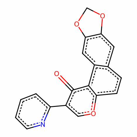 O=c1c(-c2ccccn2)coc2ccc3cc4c(cc3c12)OCO4